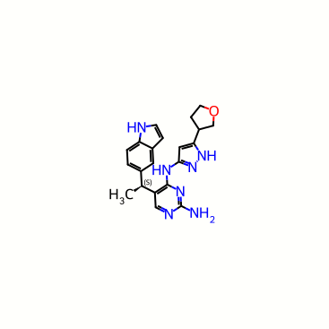 C[C@@H](c1ccc2[nH]ccc2c1)c1cnc(N)nc1Nc1cc(C2CCOC2)[nH]n1